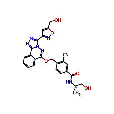 C[C@H](CO)NC(=O)c1ccc(COc2nn3c(-c4cc(CO)on4)nnc3c3ccccc23)c(C#N)c1